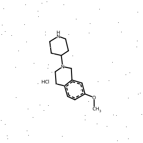 COc1ccc2c(c1)CN(C1CCNCC1)CC2.Cl